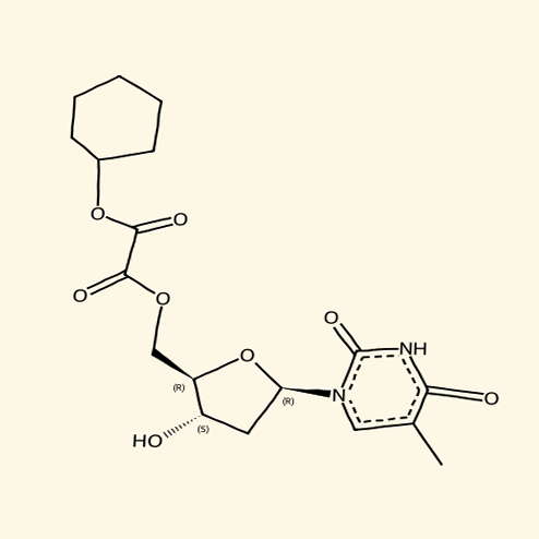 Cc1cn([C@H]2C[C@H](O)[C@@H](COC(=O)C(=O)OC3CCCCC3)O2)c(=O)[nH]c1=O